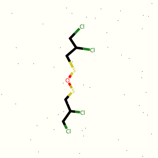 ClCC(Cl)CSOSCC(Cl)CCl